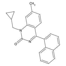 Cc1ccc2c(-c3cccc4ccccc34)nc(=O)n(CC3CC3)c2c1